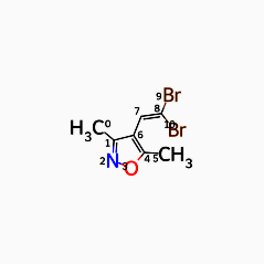 Cc1noc(C)c1C=C(Br)Br